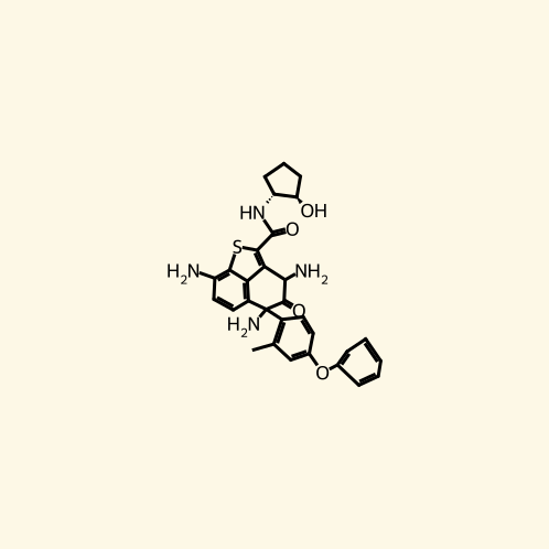 Cc1cc(Oc2ccccc2)ccc1C1(N)C(=O)C(N)c2c(C(=O)N[C@@H]3CCC[C@H]3O)sc3c(N)ccc1c23